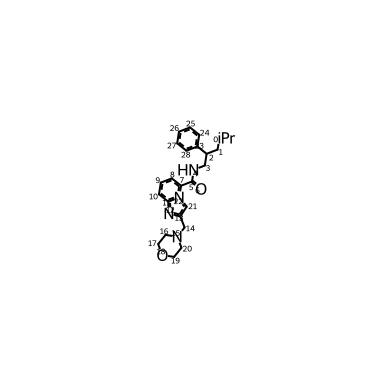 CC(C)CC(CNC(=O)c1cccc2nc(CN3CCOCC3)cn12)c1ccccc1